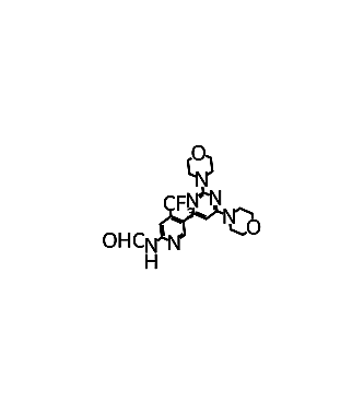 O=CNc1cc(C(F)(F)F)c(-c2cc(N3CCOCC3)nc(N3CCOCC3)n2)cn1